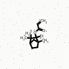 C=CC(=O)OC1(CC)C2(C)CCC(C2)C1(C)C